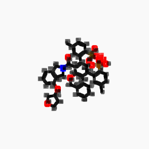 Cc1ccc(S(=O)(=O)O)c(-c2cc(-c3cc(C)ccc3S(=O)(=O)O)c(C(=O)N3Cc4cccc(OC5CCOC5)c4C3)c(OCc3ccccc3)c2C)c1